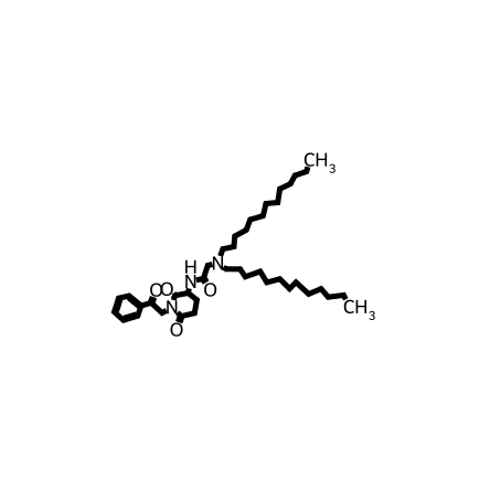 CCCCCCCCCCCCCN(CCCCCCCCCCCCC)CC(=O)NC1CCC(=O)N(CC(=O)c2ccccc2)C1=O